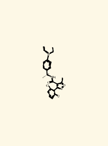 CCN(CC)c1ccc([C@@H](C)NC(=O)c2c(-c3c(Cl)cccc3Cl)noc2C)cc1